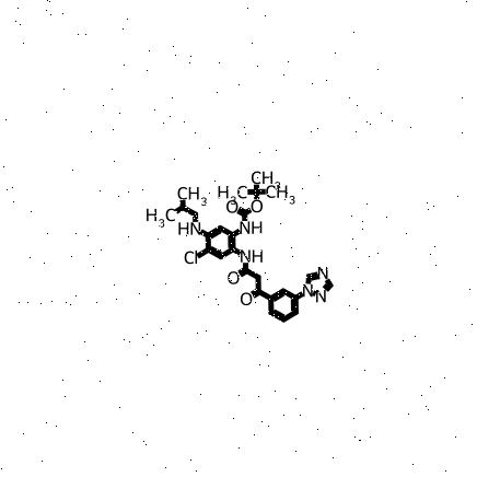 CC(C)CNc1cc(NC(=O)OC(C)(C)C)c(NC(=O)CC(=O)c2cccc(-n3cncn3)c2)cc1Cl